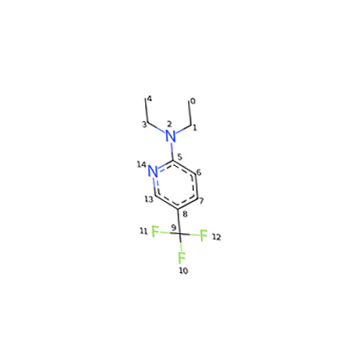 CCN(CC)c1ccc(C(F)(F)F)cn1